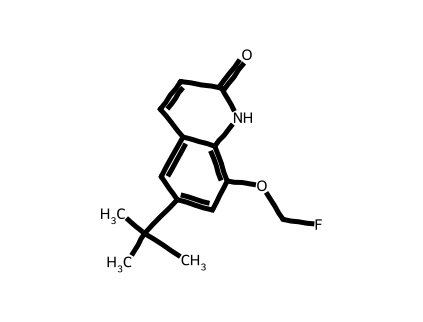 CC(C)(C)c1cc(OCF)c2[nH]c(=O)ccc2c1